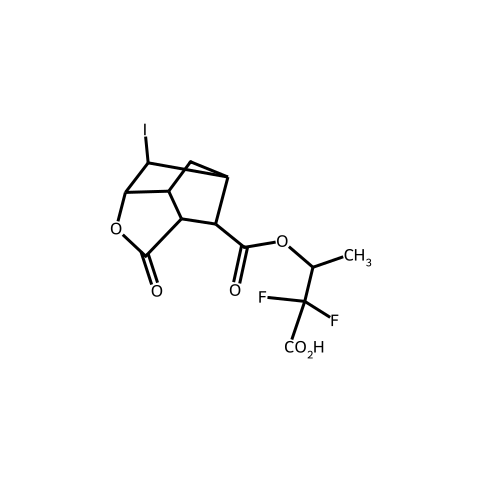 CC(OC(=O)C1C2CC3C(OC(=O)C31)C2I)C(F)(F)C(=O)O